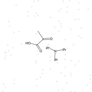 CC(=O)C(=O)O.CC(C)N(C(C)C)C(C)C